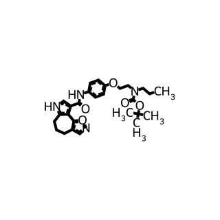 CCCN(CCOc1ccc(NC(=O)c2c[nH]c3c2-c2oncc2CCC3)cc1)C(=O)OC(C)(C)C